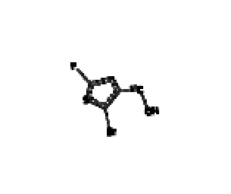 O[13CH2]c1cc(F)sc1Br